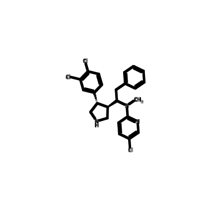 CN(c1ccc(Cl)cn1)C(Cc1ccccc1)[C@H]1CNC[C@@H]1c1ccc(Cl)c(Cl)c1